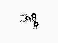 CCN(Cc1ccccc1Oc1nc(OC)cc(OC)n1)c1ccc(Cl)c(Cl)c1